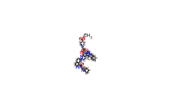 CCOC(=O)C1CCN(CCS(=O)(=O)NC(=O)c2nc(N3CCc4cccc(C(=O)Nc5nc6ccccc6s5)c4C3)ccc2-c2cnn(CC3CCCCC3)c2C)CC1